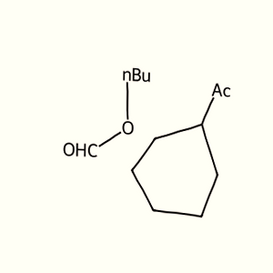 CC(=O)C1CCCCC1.CCCCOC=O